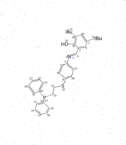 CC(C)(C)c1cc(/C=N/c2ccc(SCCP(c3ccccc3)c3ccccc3)cc2)c(O)c(C(C)(C)C)c1